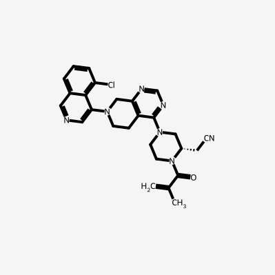 C=C(C)C(=O)N1CCN(c2ncnc3c2CCN(c2cncc4cccc(Cl)c24)C3)C[C@@H]1CC#N